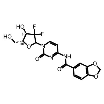 O=C(Nc1ccn(C2O[C@H](CO)[C@@H](O)C2(F)F)c(=O)n1)c1ccc2c(c1)OCO2